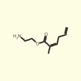 C=CCC=C(C)C(=O)OCCN